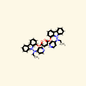 CCN(c1ccncc1)n1c2ccccc2c2cccc(OC(=O)/C=C\C(=O)Oc3cccc4c5ccccc5n(N(CC)c5ccncc5)c34)c21